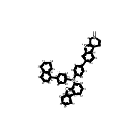 C1=Cc2c(sc3cc(-c4ccc(N(c5ccc(-c6cccc7ccccc67)cc5)c5cccc6c5oc5ccccc56)cc4)ccc23)CN1